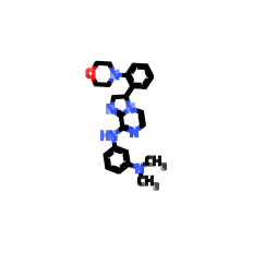 CN(C)c1cccc(NC2=NC=CN3C2=NCC3c2ccccc2N2CCOCC2)c1